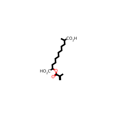 C=C(C)C(=O)OC(CCCCCCCCC(C)C(=O)O)C(=O)O